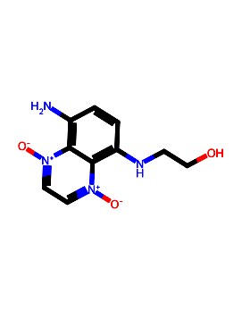 Nc1ccc(NCCO)c2c1[n+]([O-])cc[n+]2[O-]